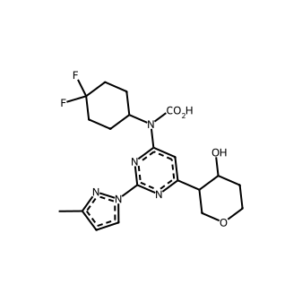 Cc1ccn(-c2nc(C3COCCC3O)cc(N(C(=O)O)C3CCC(F)(F)CC3)n2)n1